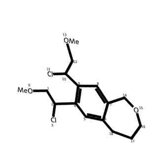 COCC(Cl)c1cc2c(cc1C(Cl)COC)COCCC2